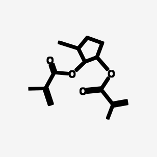 C=C(C)C(=O)OC1CCC(C)C1OC(=O)C(=C)C